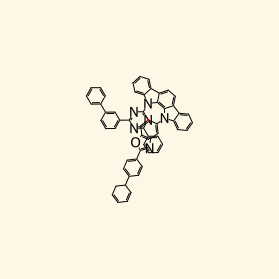 C1=CCC(c2ccc(-c3nc4cc(-n5c6ccccc6c6ccc7c8ccccc8n(-c8nc(-c9ccccc9)nc(-c9cccc(-c%10ccccc%10)c9)n8)c7c65)ccc4o3)cc2)C=C1